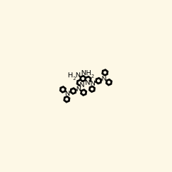 Nc1c(N)c2ccc(N(c3ccccc3)c3ccc(N(c4ccccc4)c4ccccc4)cc3)nc2c2nc(N(c3ccccc3)c3ccc(N(c4ccccc4)c4ccccc4)cc3)ccc12